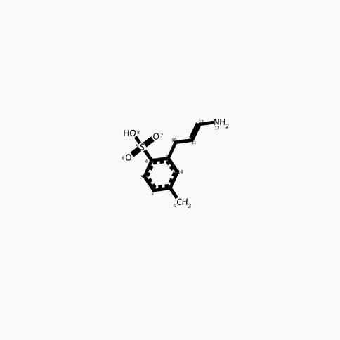 Cc1ccc(S(=O)(=O)O)c(CC=CN)c1